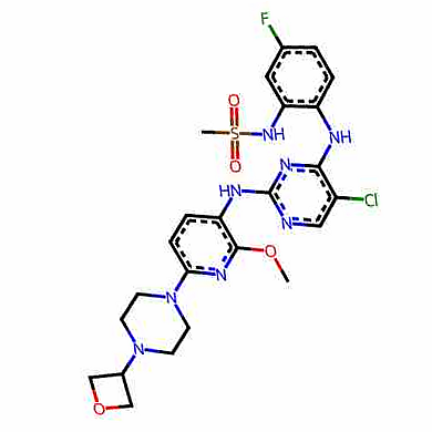 COc1nc(N2CCN(C3COC3)CC2)ccc1Nc1ncc(Cl)c(Nc2ccc(F)cc2NS(C)(=O)=O)n1